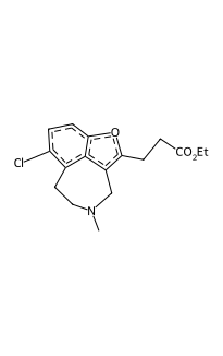 CCOC(=O)CCc1oc2ccc(Cl)c3c2c1CN(C)CC3